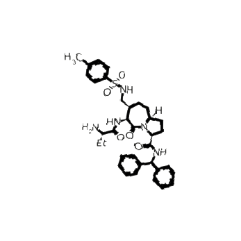 CC[C@H](N)C(=O)N[C@@H]1C(=O)N2[C@@H](CC[C@@H]1CNS(=O)(=O)c1ccc(C)cc1)CC[C@H]2C(=O)NC(c1ccccc1)c1ccccc1